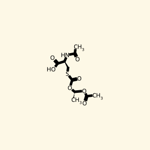 CC(=O)N[C@@H](CSC(=O)O[C@@H](C)OC(C)=O)C(=O)O